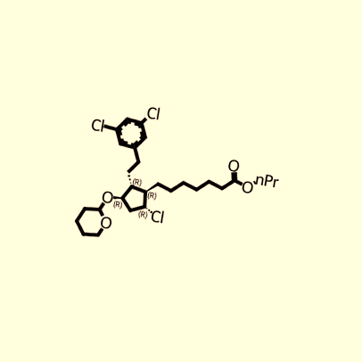 CCCOC(=O)CCCCCC[C@@H]1[C@@H](CCc2cc(Cl)cc(Cl)c2)[C@H](OC2CCCCO2)C[C@H]1Cl